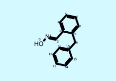 ON=Cc1ccccc1Cc1ccccc1